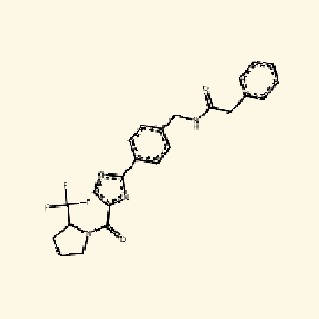 O=C(Cc1ccccc1)NCc1ccc(-c2nc(C(=O)N3CCCC3C(F)(F)F)co2)cc1